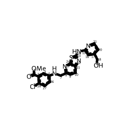 COC(=O)c1cc(NCc2ccc3nc(Nc4cc(CO)ccn4)sc3n2)ccc1Cl